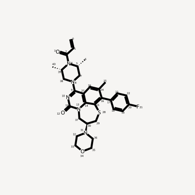 C=CC(=O)N1[C@H](C)CN(c2nc(=O)n3c4c(c(-c5ccc(F)cc5)c(C)cc24)SC[C@@H](N2CCOCC2)C3)C[C@@H]1C